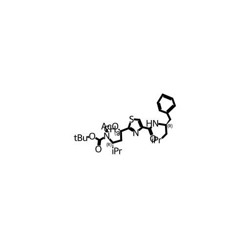 CC(=O)O[C@@H](C[C@H](C(C)C)N(C)C(=O)OC(C)(C)C)c1nc(C(=O)N[C@@H](Cc2ccccc2)CC(C)C)cs1